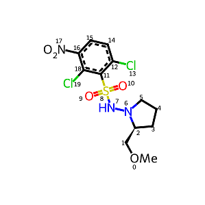 COC[C@@H]1CCCN1NS(=O)(=O)c1c(Cl)ccc([N+](=O)[O-])c1Cl